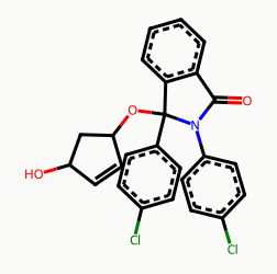 O=C1c2ccccc2C(OC2C=CC(O)C2)(c2ccc(Cl)cc2)N1c1ccc(Cl)cc1